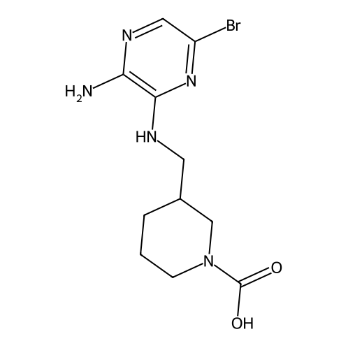 Nc1ncc(Br)nc1NCC1CCCN(C(=O)O)C1